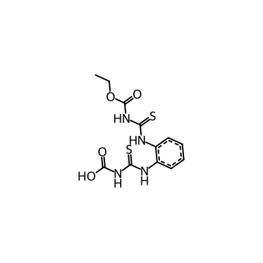 CCOC(=O)NC(=S)Nc1ccccc1NC(=S)NC(=O)O